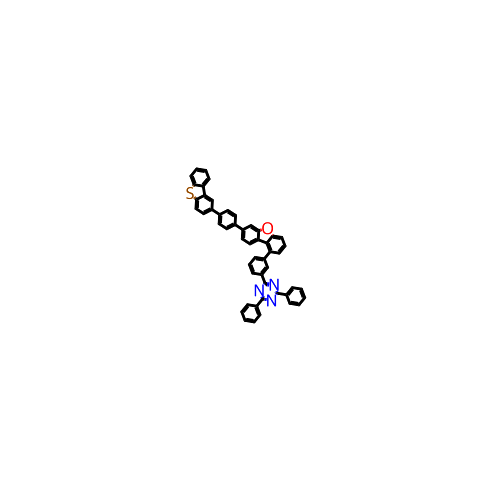 c1ccc(-c2nc(-c3ccccc3)nc(-c3cccc(-c4cccc5oc6cc(-c7ccc(-c8ccc9sc%10ccccc%10c9c8)cc7)ccc6c45)c3)n2)cc1